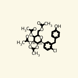 CC(=O)OCC1O[C@@H](c2ccc(Cl)c(Cc3ccc(O)cc3)c2)[C@H](OC(C)=O)[C@@H](OC(C)=O)C1OC(C)=O